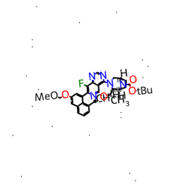 C#Cc1cccc2cc(OCOC)cc(-c3nc4c5c(ncnc5c3F)N3C[C@H]5CC[C@@H]([C@H]3[C@H](C)O4)N5C(=O)OC(C)(C)C)c12